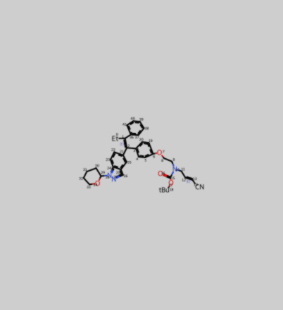 CC/C(=C(/c1ccc(OCCN(C/C=C/C#N)C(=O)OC(C)(C)C)cc1)c1ccc2c(cnn2C2CCCCO2)c1)c1ccccc1